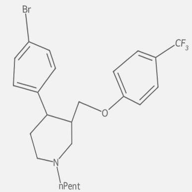 CCCCCN1CCC(c2ccc(Br)cc2)C(COc2ccc(C(F)(F)F)cc2)C1